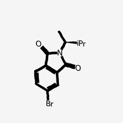 CC(C)[C@H](C)N1C(=O)c2ccc(Br)cc2C1=O